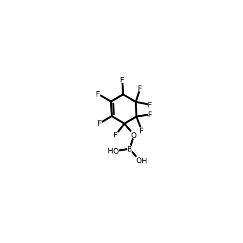 OB(O)OC1(F)C(F)=C(F)C(F)C(F)(F)C1(F)F